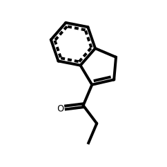 CCC(=O)C1=CCc2ccccc21